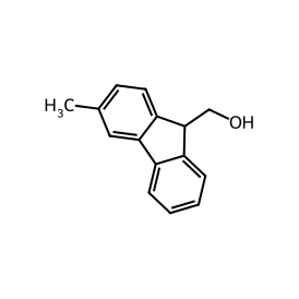 Cc1ccc2c(c1)-c1ccccc1C2CO